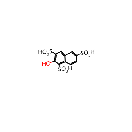 O=S(=O)(O)c1ccc2c(S(=O)(=O)O)c(O)c(S(=O)(=O)O)cc2c1